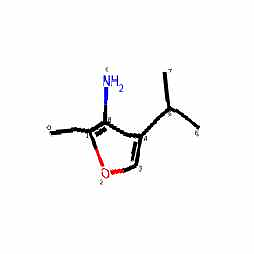 Cc1occ(C(C)C)c1N